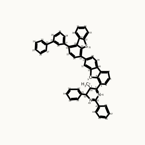 C[C@@H]1C(c2cccc3c2oc2cc(-c4ccc(-c5cccc(-c6ccccc6)c5)c5c4sc4ccccc45)ccc23)=NC(c2ccccc2)=NC1c1ccccc1